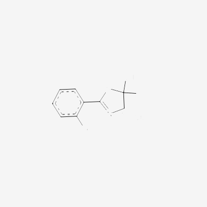 CC1(C)SC(c2ccccc2O)=N[C@H]1C(=O)O